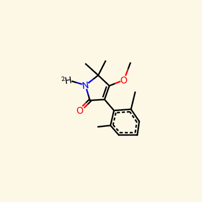 [2H]N1C(=O)C(c2c(C)cccc2C)=C(OC)C1(C)C